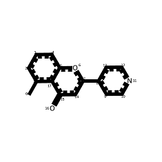 Cc1cccc2oc(-c3ccncc3)cc(=O)c12